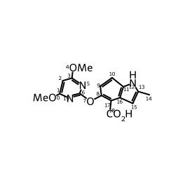 COc1cc(OC)nc(Oc2ccc3[nH]c(C)cc3c2C(=O)O)n1